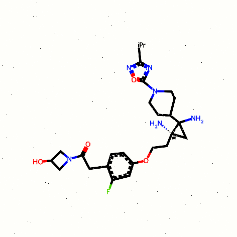 CC(C)c1noc(N2CCC(C3(N)C[C@@]3(N)CCOc3ccc(CC(=O)N4CC(O)C4)c(F)c3)CC2)n1